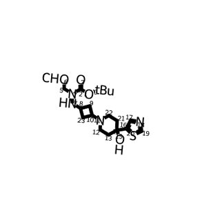 CC(C)(C)OC(=O)N(CC=O)NC1CC(N2CCC(O)(c3cncs3)CC2)C1